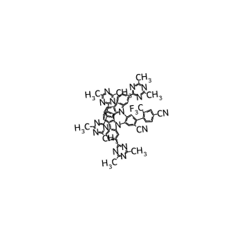 Cc1nc(C)nc(-c2ccc3c4ccc(-c5nc(C)nc(C)n5)cc4n(-c4cc(C#N)c(-c5ccc(C#N)cc5C(F)(F)F)cc4-n4c5cc(-c6nc(C)nc(C)n6)ccc5c5ccc(-c6nc(C)nc(C)n6)cc54)c3c2)n1